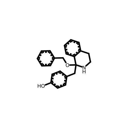 Oc1ccc(CC2(OCc3ccccc3)NCCc3ccccc32)cc1